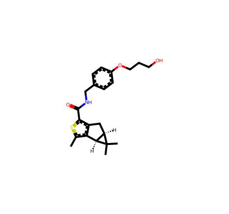 Cc1sc(C(=O)NCc2ccc(OCCCO)cc2)c2c1[C@H]1[C@@H](C2)C1(C)C